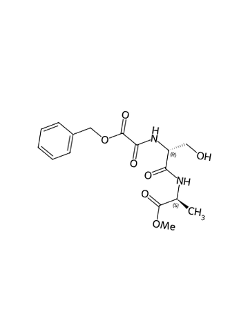 COC(=O)[C@H](C)NC(=O)[C@@H](CO)NC(=O)C(=O)OCc1ccccc1